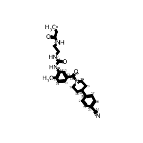 CCC(=O)NCCNC(=O)Nc1cc(C(=O)N2CCC(c3ccc(C#N)cc3)CC2)ccc1C